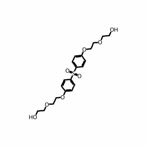 O=S(=O)(c1ccc(OCCOCCO)cc1)c1ccc(OCCOCCO)cc1